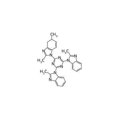 Cc1nc2c(n1-c1nc(-n3c(C)nc4ccccc43)nc(-n3c(C)nc4ccccc43)n1)C=CC(C)C2